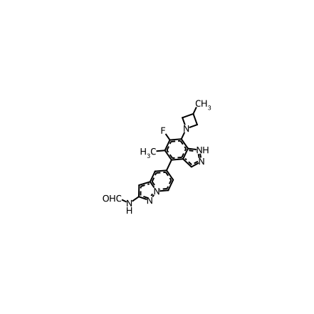 Cc1c(F)c(N2CC(C)C2)c2[nH]ncc2c1-c1ccn2nc(NC=O)cc2c1